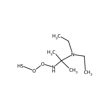 CCN(CC)C(C)(C)NOOS